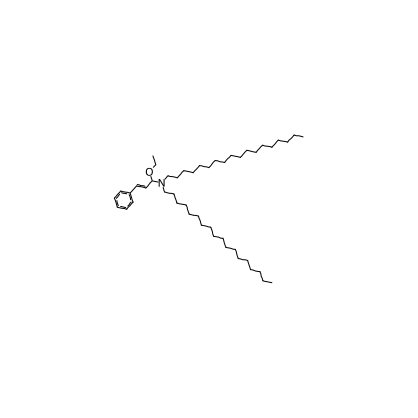 CCCCCCCCCCCCCCCCCCN(CCCCCCCCCCCCCCCCCC)C(C=Cc1ccccc1)OCC